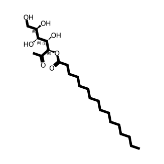 CCCCCCCCCCCCCCCC(=O)O[C@@H](C(C)=O)[C@@H](O)[C@H](O)[C@H](O)CO